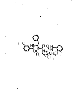 Cc1cccc(C(=O)NC(Cc2ccccc2)[C@H](C)C(=O)N2CSC(C)(C)[C@H]2C(=O)NCc2ccccc2C)c1